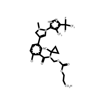 CN1CC(c2ccc(Cl)c(C(=O)N(COC(=O)OCCC(=O)O)C3(C#N)CC3)c2)=CN1c1[nH]nc(C(F)(F)C(F)(F)F)c1C(F)(F)F